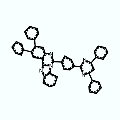 c1ccc(-c2cc(-c3ccccc3)nc(-c3ccc(-c4nc5cc(-c6ccccc6)c(-c6ccccc6)cc5c5nc6ccccc6n45)cc3)n2)cc1